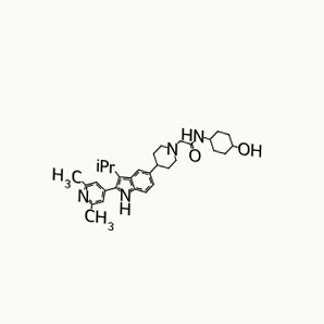 Cc1cc(-c2[nH]c3ccc(C4CCN(CC(=O)NC5CCC(O)CC5)CC4)cc3c2C(C)C)cc(C)n1